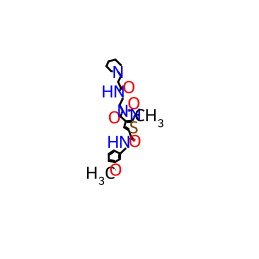 COc1cccc(CNC(=O)c2cc3c(=O)n(CCNC(=O)CCN4CCCCC4)c(=O)n(C)c3s2)c1